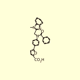 Cn1c(CN(C(=O)c2ccccc2)c2ccc(-c3ccc(C(=O)O)o3)cc2)nc2ccccc21